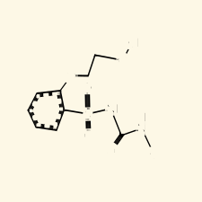 CNC(=O)NS(=O)(=O)c1ccccc1OCCOC